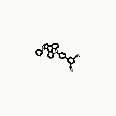 N#Cc1cc(C#N)cc(-c2ccc(-n3c4cccc5c6ccn(-c7ccccc7)c6c6cccc3c6c54)cc2)c1